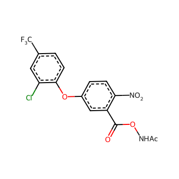 CC(=O)NOC(=O)c1cc(Oc2ccc(C(F)(F)F)cc2Cl)ccc1[N+](=O)[O-]